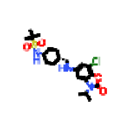 CC(C)n1c(=O)oc2c(Cl)cc(NC[C@H]3CC[C@H](NS(=O)(=O)C(C)(C)C)CC3)cc21